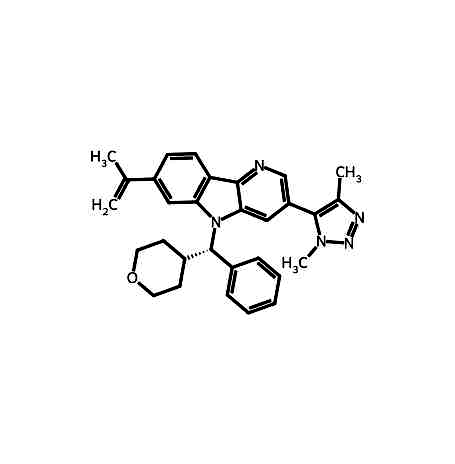 C=C(C)c1ccc2c3ncc(-c4c(C)nnn4C)cc3n([C@H](c3ccccc3)C3CCOCC3)c2c1